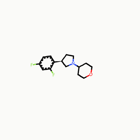 Fc1ccc([C@H]2CCN(C3CCOCC3)C2)c(F)c1